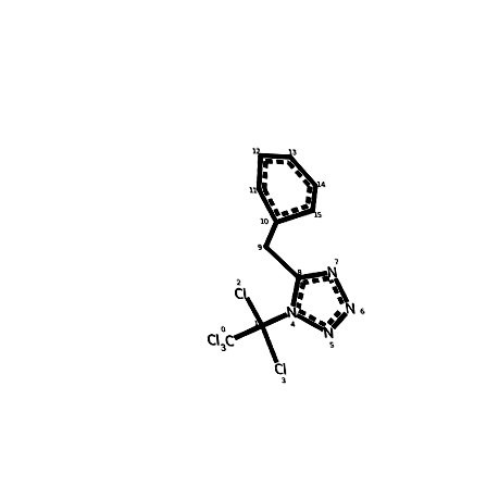 ClC(Cl)(Cl)C(Cl)(Cl)n1nnnc1Cc1ccccc1